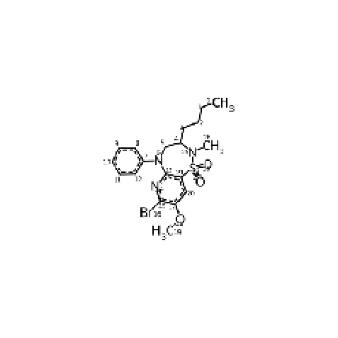 CCCCC1CN(c2ccccc2)c2nc(Br)c(OC)cc2S(=O)(=O)N1C